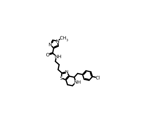 Cn1cnc(C(=O)NCCCc2nc3c(s2)CCNC3Cc2ccc(Cl)cc2)c1